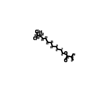 C=C(C)C(=O)OCCCCCCCCC[SiH2]C(Cl)Cl